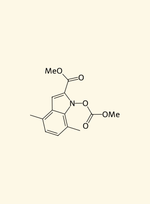 COC(=O)On1c(C(=O)OC)cc2c(C)ccc(C)c21